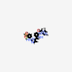 Cc1cnc(Nc2cccc(S(C)(=O)=O)c2F)nc1-c1c[nH]c2c(NC(=O)[C@@H](C)N3CCN(C)C[C@@H]3C)cccc12